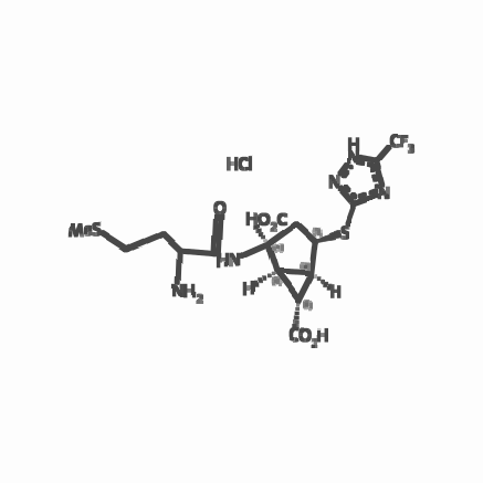 CSCCC(N)C(=O)N[C@@]1(C(=O)O)C[C@@H](Sc2n[nH]c(C(F)(F)F)n2)[C@H]2[C@H](C(=O)O)[C@H]21.Cl